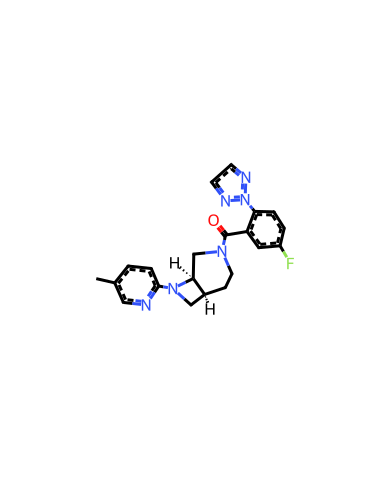 Cc1ccc(N2C[C@@H]3CCN(C(=O)c4cc(F)ccc4-n4nccn4)C[C@@H]32)nc1